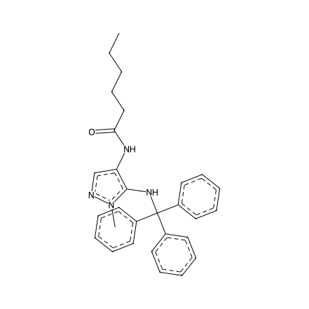 CCCCCC(=O)Nc1cnn(C)c1NC(c1ccccc1)(c1ccccc1)c1ccccc1